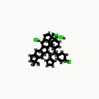 CC1(C)C=Cc2cc3c(cc21)[CH]([Zr+2]([C]1=CC=CC1)=[C](c1ccc(Cl)cc1)c1ccc(Cl)cc1)c1cc2c(cc1-3)C=CC2(C)C.[Cl-].[Cl-]